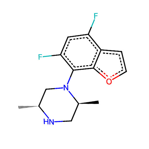 C[C@@H]1CN(c2c(F)cc(F)c3ccoc23)[C@@H](C)CN1